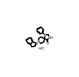 Cl.O=C1NCN(c2ccccc2)C12CCN([C@@H]1CCc3ccccc31)CC2